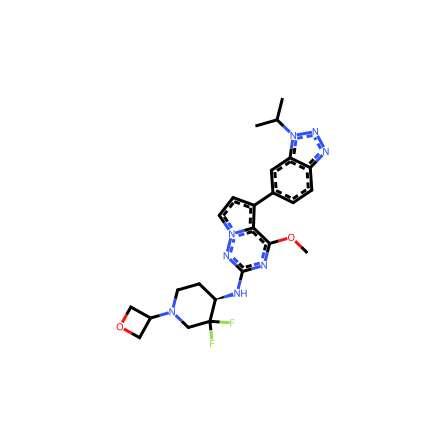 COc1nc(N[C@@H]2CCN(C3COC3)CC2(F)F)nn2ccc(-c3ccc4nnn(C(C)C)c4c3)c12